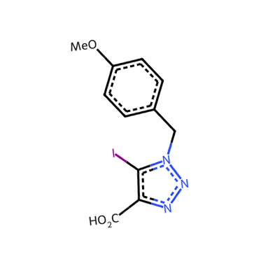 COc1ccc(Cn2nnc(C(=O)O)c2I)cc1